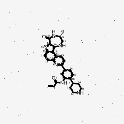 C=CC(=O)Nc1cc(-c2ccc3c(ccc4sc5c(c43)NC[C@@H](C)NC5=O)n2)ccc1C1CCNCC1